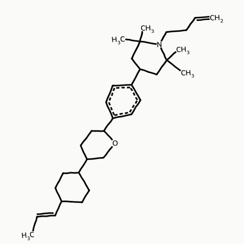 C=CCCN1C(C)(C)CC(c2ccc(C3CCC(C4CCC(/C=C/C)CC4)CO3)cc2)CC1(C)C